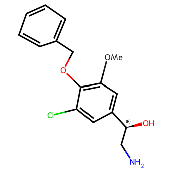 COc1cc([C@@H](O)CN)cc(Cl)c1OCc1ccccc1